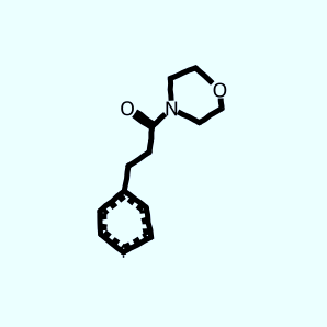 O=C(CCc1cc[c]cc1)N1CCOCC1